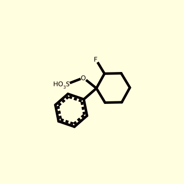 O=S(=O)(O)OC1(c2ccccc2)CCCCC1F